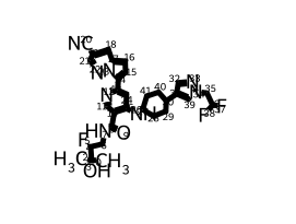 CC(C)(O)[C@H](F)CNC(=O)c1cnc(-c2ccc3cc(C#N)cnn23)cc1NC1CCC(c2cnn(CC(F)F)c2)CC1